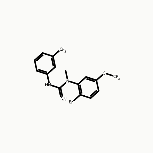 CN(C(=N)Nc1cccc(C(F)(F)F)c1)c1cc(SC(F)(F)F)ccc1Br